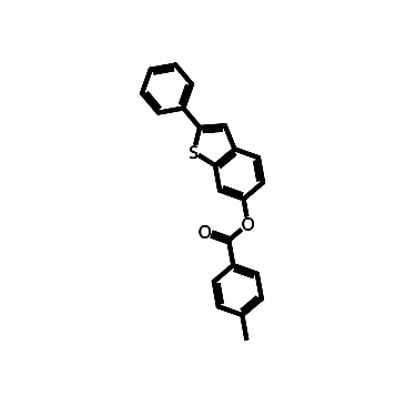 Cc1ccc(C(=O)Oc2ccc3cc(-c4ccccc4)sc3c2)cc1